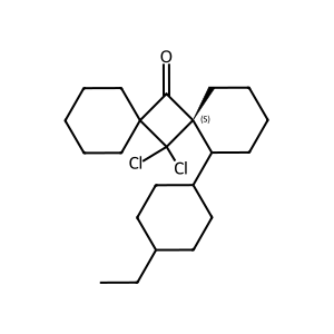 CCC1CCC(C2CCCC[C@@]23C(=O)C2(CCCCC2)C3(Cl)Cl)CC1